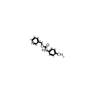 Cc1ccc(NC(=O)OCc2cccnc2)cc1